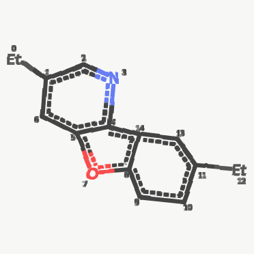 CCc1cnc2c(c1)oc1ccc(CC)cc12